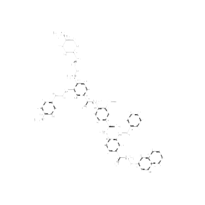 COc1cc(C(=O)Nc2ccc(C(=O)NCc3ccc4ccccc4c3)cc2OCc2ccccc2)ccc1NC(=O)c1ccc(NCOCC2CCC(N)CC2)c(OCCc2ccc(O)cc2)c1